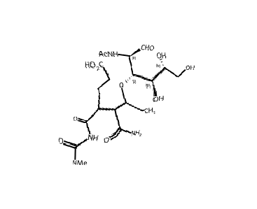 CNC(=O)NC(=O)C(CCC(=O)O)C(C(N)=O)C(C)O[C@@H]([C@H](O)[C@H](O)CO)[C@H](C=O)NC(C)=O